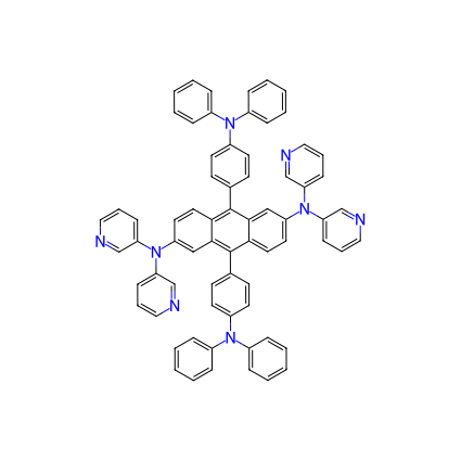 c1ccc(N(c2ccccc2)c2ccc(-c3c4ccc(N(c5cccnc5)c5cccnc5)cc4c(-c4ccc(N(c5ccccc5)c5ccccc5)cc4)c4ccc(N(c5cccnc5)c5cccnc5)cc34)cc2)cc1